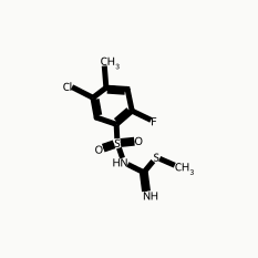 CSC(=N)NS(=O)(=O)c1cc(Cl)c(C)cc1F